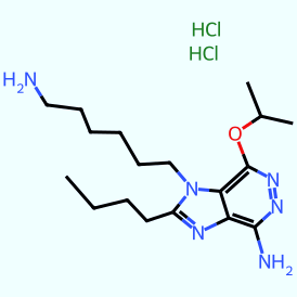 CCCCc1nc2c(N)nnc(OC(C)C)c2n1CCCCCCN.Cl.Cl